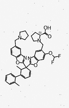 Cc1ccccc1C1=CC=CC(c2nc3cc(CN4CCCC4)ccc3o2)(c2nc3cc(CN4CCC[C@H]4C(=O)O)c(OC(F)F)cc3o2)C1C